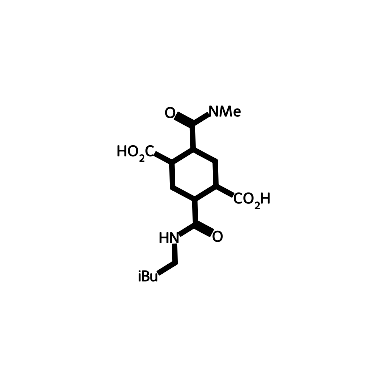 CCC(C)CNC(=O)C1CC(C(=O)O)C(C(=O)NC)CC1C(=O)O